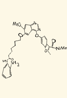 CNC(=O)c1c(C)oc2cc(Oc3ncnc4cc(OC)c(OCCCCCCC(=O)Nc5ccccc5N)cc34)ccc12